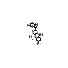 CCC1CCC(Nc2nc(-c3cnc4ccc(F)cn34)ncc2N)CC1